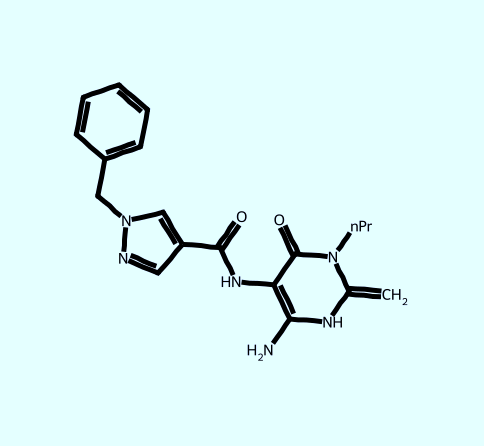 C=C1NC(N)=C(NC(=O)c2cnn(Cc3ccccc3)c2)C(=O)N1CCC